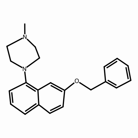 CN1CCN(c2cccc3ccc(OCc4ccccc4)cc23)CC1